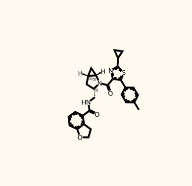 Cc1ccc(-c2sc(C3CC3)nc2C(=O)N2[C@H](CNC(=O)c3cccc4c3CCO4)C[C@@H]3C[C@@H]32)cc1